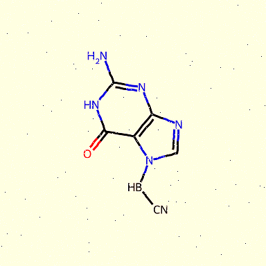 N#CBn1cnc2nc(N)[nH]c(=O)c21